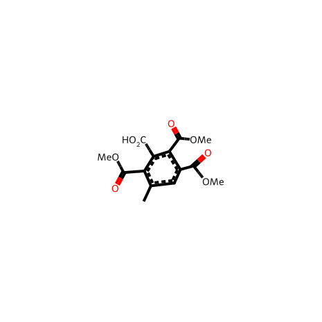 COC(=O)c1cc(C)c(C(=O)OC)c(C(=O)O)c1C(=O)OC